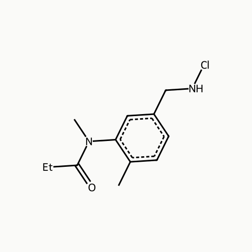 CCC(=O)N(C)c1cc(CNCl)ccc1C